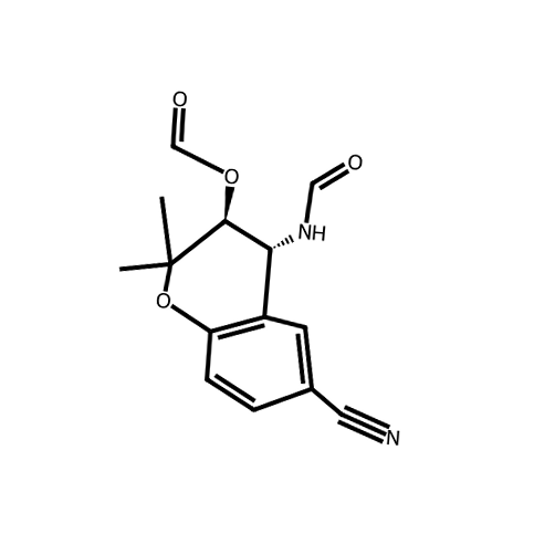 CC1(C)Oc2ccc(C#N)cc2[C@@H](NC=O)[C@@H]1OC=O